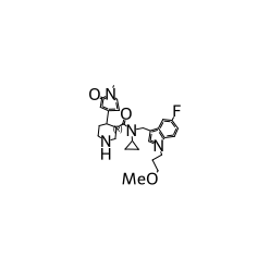 COCCCn1cc(CN(C(=O)[C@H]2CNCCC2c2ccn(C)c(=O)c2)C2CC2)c2cc(F)ccc21